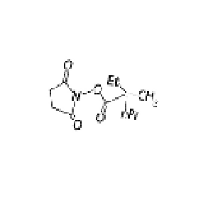 CCCC(C)(CC)C(=O)ON1C(=O)CCC1=O